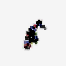 CN1CCC[C@H]1COc1ncc2c3c(c(-c4ncc(F)c5sc(NC(=O)OC(C)(C)C)c(C#N)c45)c(F)c2n1)COC3